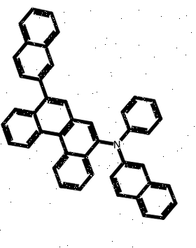 c1ccc(N(c2ccc3ccccc3c2)c2cc3cc(-c4ccc5ccccc5c4)c4ccccc4c3c3ccccc23)cc1